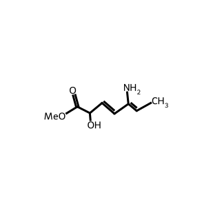 CC=C(N)C=CC(O)C(=O)OC